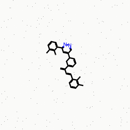 C=C(/C=C/c1cccc(C)c1C)C1=CC=CC(c2cnnc(-c3cccc(C)c3C)c2)C1